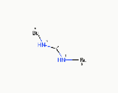 CCC(C)NCNC(C)CC